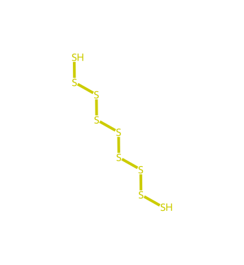 SSSSSSSSS